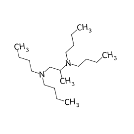 CCCCN(CCCC)CC(C)N(CCCC)CCCC